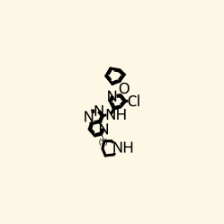 Clc1cc(Nc2ncnc3ccc([C@H]4CCCNC4)nc23)cnc1Oc1ccccc1